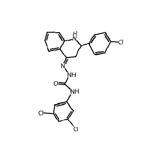 O=C(NN=C1CC(c2ccc(Cl)cc2)Nc2ccccc21)Nc1cc(Cl)cc(Cl)c1